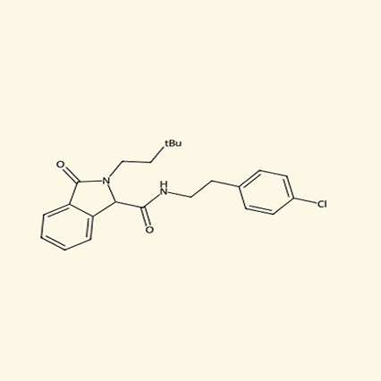 CC(C)(C)CCN1C(=O)c2ccccc2C1C(=O)NCCc1ccc(Cl)cc1